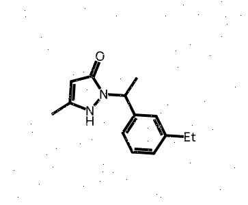 CCc1cccc(C(C)n2[nH]c(C)cc2=O)c1